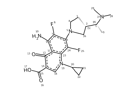 C[C@H]([C@H]1CCN(c2c(F)c(N)c3c(=O)c(C(=O)O)cn(C4CC4)c3c2F)C1)N(C)C